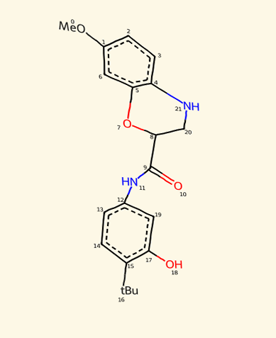 COc1ccc2c(c1)OC(C(=O)Nc1ccc(C(C)(C)C)c(O)c1)CN2